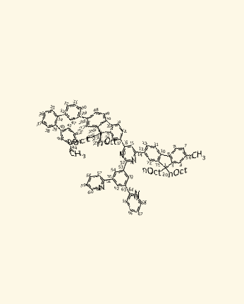 CCCCCCCCC1(CCCCCCCC)c2cc(C)ccc2-c2ccc(-c3cc(-c4ccc5c(c4)C(CCCCCCCC)(CCCCCCCC)c4cc(-c6cccc(-c7ccccc7-c7cccc(C)c7)c6)ccc4-5)nc(-c4cc(-c5ccccn5)cc(-c5ccccn5)c4)n3)cc21